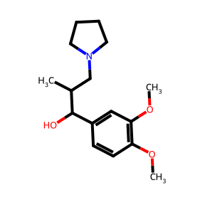 COc1ccc(C(O)C(C)CN2CCCC2)cc1OC